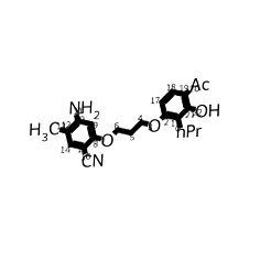 CCCc1c(OCCCOc2cc(N)c(C)cc2C#N)ccc(C(C)=O)c1O